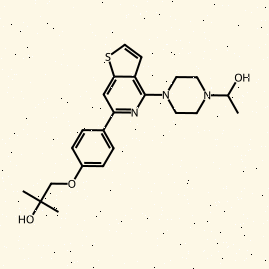 CC(O)N1CCN(c2nc(-c3ccc(OCC(C)(C)O)cc3)cc3sccc23)CC1